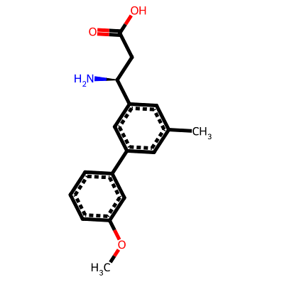 COc1cccc(-c2cc(C)cc([C@@H](N)CC(=O)O)c2)c1